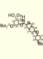 CC(C)(C)CCOc1ccc(C(CC(=O)O)NC(=O)c2cc3ccc(Oc4ccc(C(C)(C)C)cc4)cc3cn2)cc1